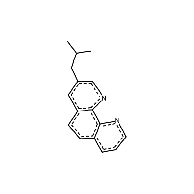 CC(C)Cc1cnc2c(ccc3cccnc32)c1